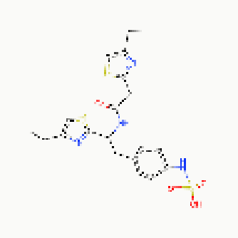 CCc1csc(CC(=O)NC(Cc2[c]cc(NS(=O)(=O)O)cc2)c2nc(CC)cs2)n1